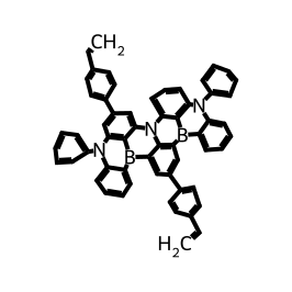 C=Cc1ccc(-c2cc3c4c(c2)B2c5ccccc5N(c5ccccc5)c5cc(-c6ccc(C=C)cc6)cc(c52)N4c2cccc4c2B3c2ccccc2N4c2ccccc2)cc1